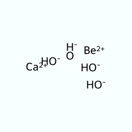 [Be+2].[Ca+2].[OH-].[OH-].[OH-].[OH-]